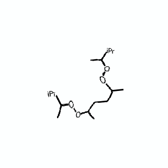 CC(CCC(C)OOC(C)C(C)C)OOC(C)C(C)C